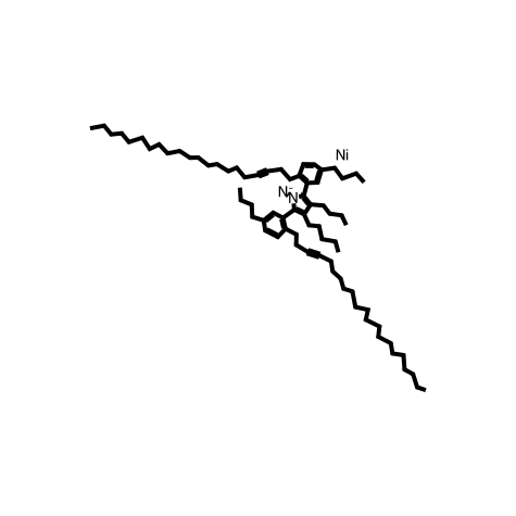 CCCCCCCCCCCCCCCCCC#CCCc1ccc(CCCC)cc1C1=C(CCCC)C(CCCCC)=C(c2cc(CCCC)ccc2CCC#CCCCCCCCCCCCCCCCCC)[N+]1=[N-].[Ni]